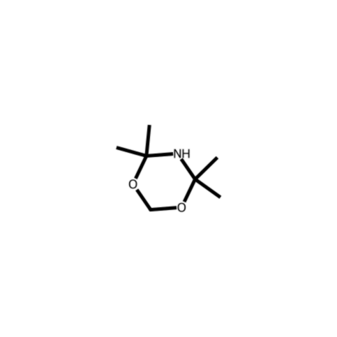 CC1(C)NC(C)(C)OCO1